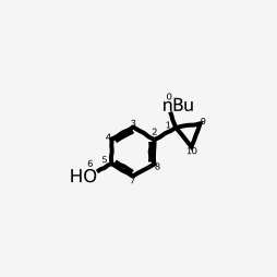 CCCCC1(c2ccc(O)cc2)CC1